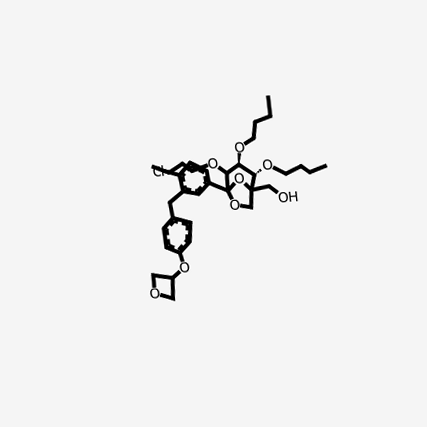 CCCCOC1[C@@H](OCCCC)[C@H](OCCCC)C2(CO)COC1(c1ccc(Cl)c(Cc3ccc(OC4COC4)cc3)c1)O2